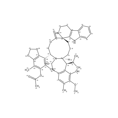 COc1c(C)cc2c(c1O)[C@H](N(C)C)[C@@H]1CSC[C@]3(NCCc4c3[nH]c3ccccc43)C(=O)OC[C@@H](c3c(C)c(OC(C)=O)c(C)c4c3OCO4)N1[C@@H](O)C2